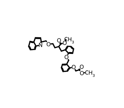 COC(=O)COc1ccccc1COc1ccccc1CC(CCOCc1ccc2ccccc2n1)C(=O)OC